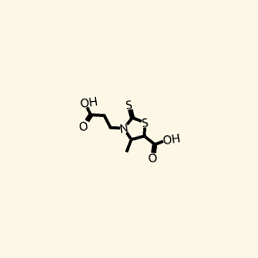 CC1C(C(=O)O)SC(=S)N1CCC(=O)O